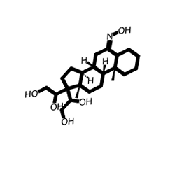 C[C@]12CCCCC1/C(=N\O)C[C@@H]1[C@H]2CC[C@@]2(C)[C@H]1CCC2(C(O)CO)C(O)CO